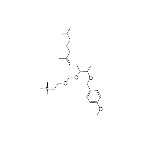 C=C(C)CCCC(C)=CCC(OCOCC[Si](C)(C)C)C(C)OCc1ccc(OC)cc1